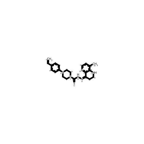 C=Cc1ccc(N2CCN(C(=S)N/N=C3/CCNc4c(C)ccnc43)CC2)cc1